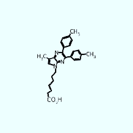 Cc1ccc(-c2nc3c(C)cn(CCCCCCC(=O)O)c3nc2-c2ccc(C)cc2)cc1